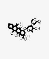 COC1CN(C2CC(OC3CC(O)(C(=O)O)Cc4c(O)c5c(c(O)c43)C(=O)c3ccccc3C5=O)OC(C)C2O)CCO1